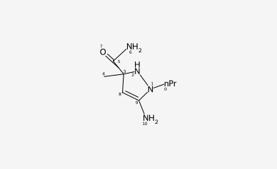 CCCN1NC(C)(C(N)=O)C=C1N